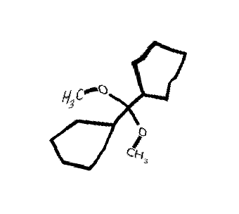 COC(OC)(C1CCCCC1)C1CCCCC1